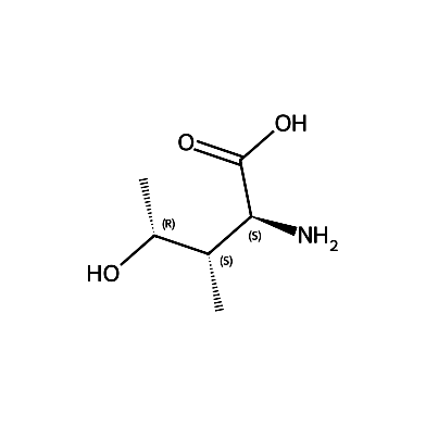 C[C@@H]([C@H](N)C(=O)O)[C@@H](C)O